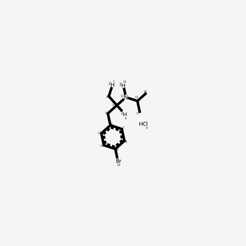 Cl.[2H]CC([2H])(Cc1ccc(Br)cc1)N([2H])C(C)C